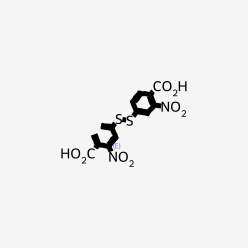 C=C(/C=C(\C(=C)C(=O)O)[N+](=O)[O-])SSc1ccc(C(=O)O)c([N+](=O)[O-])c1